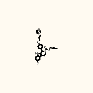 CC#CCOC(=O)N1CCc2c([nH]c3ccc(Cl)cc23)C1c1ccc(OCCCn2ccnc2)cc1